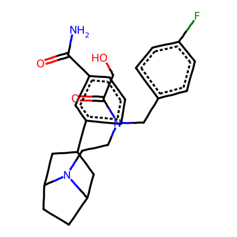 NC(=O)c1cccc(C2CC3CCC(C2)N3CCN(Cc2ccc(F)cc2)C(=O)CO)c1